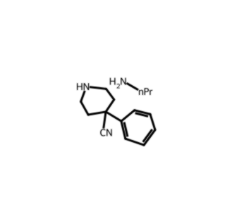 CCCN.N#CC1(c2ccccc2)CCNCC1